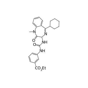 CCOC(=O)c1cccc(NC(=O)NC2N=C(C3CCCCC3)c3ccccc3N(C)C2=O)c1